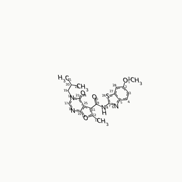 COc1ccc2nc(NC(=O)c3c(C)oc4ncn(CC(C)C)c(=O)c34)sc2c1